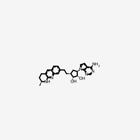 C[C@H]1CCc2cc3ccc(CC[C@H]4C[C@@H](n5ccc6c(N)ncnc65)[C@H](O)[C@@H]4O)cc3nc2N1